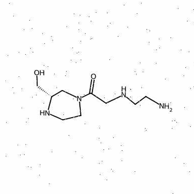 NCCNCC(=O)N1CCN[C@H](CO)C1